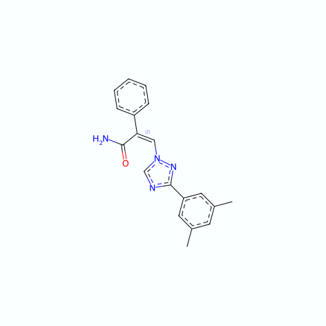 Cc1cc(C)cc(-c2ncn(/C=C(\C(N)=O)c3ccccc3)n2)c1